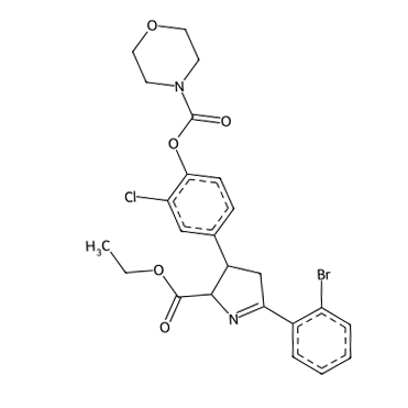 CCOC(=O)C1N=C(c2ccccc2Br)CC1c1ccc(OC(=O)N2CCOCC2)c(Cl)c1